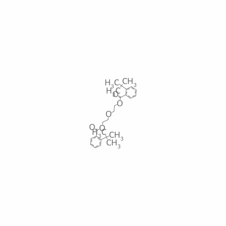 CC(C)(C)c1ccccc1C(=O)OCCOCCOC(=O)c1ccccc1C(C)(C)C